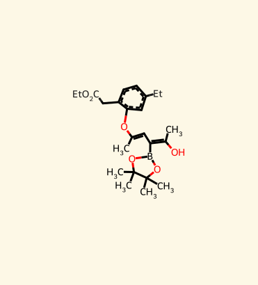 CCOC(=O)Cc1ccc(CC)cc1OC(C)=C/C(B1OC(C)(C)C(C)(C)O1)=C(\C)O